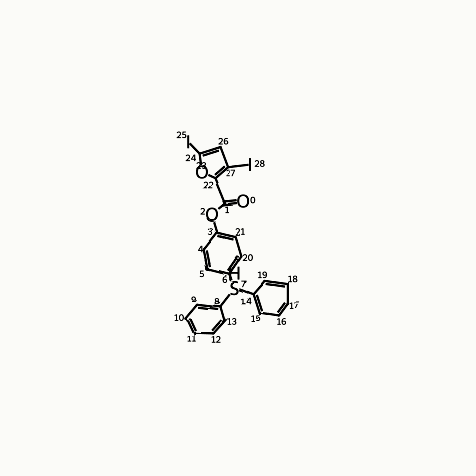 O=C(Oc1ccc([SH](c2ccccc2)c2ccccc2)cc1)c1oc(I)cc1I